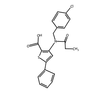 CCC(=O)N(Cc1ccc(Cl)cc1)c1cc(-c2ccccc2)sc1C(=O)O